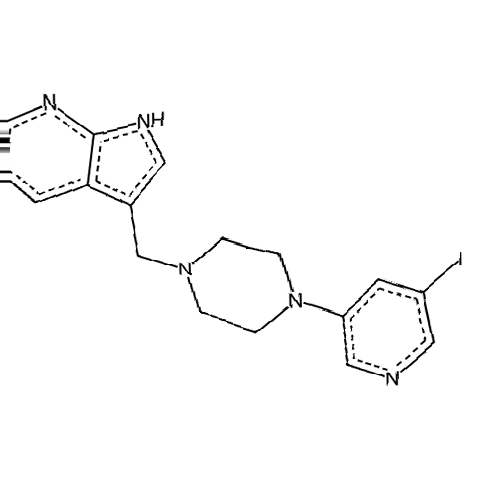 Ic1cncc(N2CCN(Cc3c[nH]c4ncccc34)CC2)c1